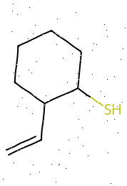 C=CC1CCCCC1S